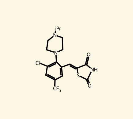 CC(C)N1CCN(c2c(Cl)cc(C(F)(F)F)cc2/C=C2\SC(=O)NC2=O)CC1